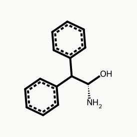 N[C@@H](O)C(c1ccccc1)c1ccccc1